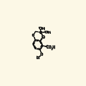 CCOc1ccc2c(c1C(=O)O)O[B-](O)(O)CO2